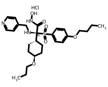 CCCCOc1ccc(S(=O)(=O)[C@@](NCc2ccncc2)(C(=O)NO)[C@H]2CC[C@H](OCCC)CC2)cc1.Cl